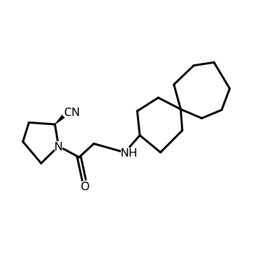 N#C[C@@H]1CCCN1C(=O)CNC1CCC2(CCCCCC2)CC1